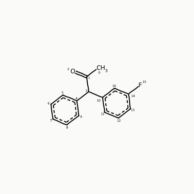 CC(=O)C(c1cc[c]cc1)c1cccc(F)c1